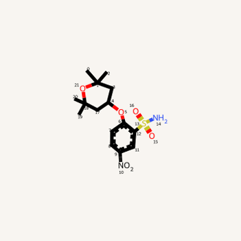 CC1(C)CC(Oc2ccc([N+](=O)[O-])cc2S(N)(=O)=O)CC(C)(C)O1